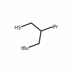 CC(C)C(CS)CC(C)(C)C